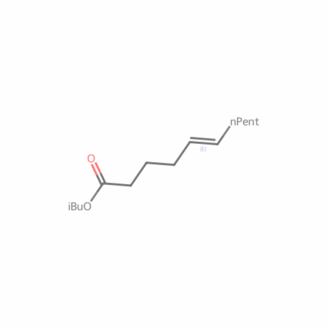 CCCCC/C=C/CCCC(=O)OCC(C)C